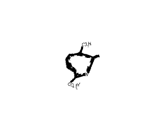 Cc1nc(C(=O)O)ccc1C(=O)O